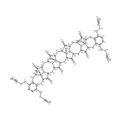 C#CCOc1ccc(OCC#C)c2c1CN1C(=O)N3CN4C(=O)N5CN6C(=O)N7CN8C(=O)N9Cc%10c(OCC#C)ccc(OCC#C)c%10CN%10C(=O)N(CN%11C(=O)N(CN%12C(=O)N(CN%13C(=O)N(C2)[C@]1(C)C3%13)C4[C@H]%125)[C@@H]6C7%11)C8[C@]%109C